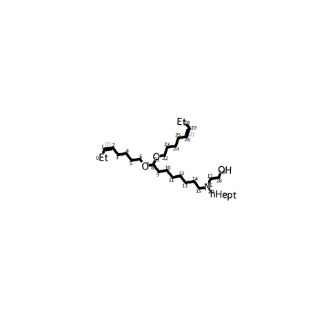 CC/C=C\CCCCOC(CCCCCCCN(CCO)CCCCCCC)OCCCC/C=C\CC